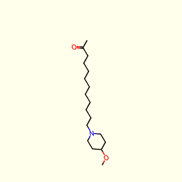 COC1CCN(CCCCCCCCCCC(C)=O)CC1